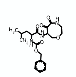 CC(C)CC(NC(=O)OCc1ccccc1)C(=O)NC1COCCNC(=O)C1=O